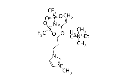 C=CC(OCCCn1cc[n+](C)c1)=[N+](S(=O)(=O)C(F)(F)F)S(=O)(=O)C(F)(F)F.CC[N+](C)(C)C